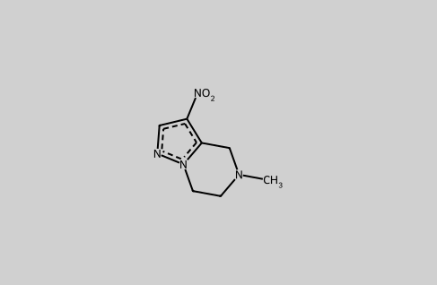 CN1CCn2ncc([N+](=O)[O-])c2C1